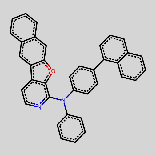 c1ccc(N(c2ccc(-c3cccc4ccccc34)cc2)c2nccc3c2oc2cc4ccccc4cc23)cc1